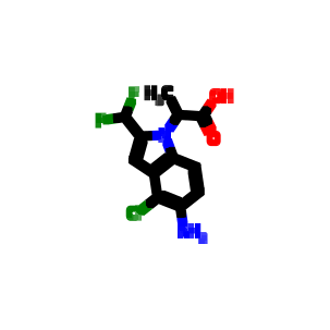 CC(C(=O)O)n1c(C(F)F)cc2c(Cl)c(N)ccc21